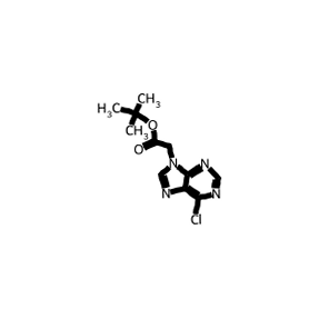 CC(C)(C)OC(=O)Cn1cnc2c(Cl)ncnc21